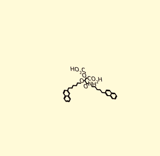 O=C(O)COC(C(=O)O)C(OCCCCCCc1ccc2ccccc2c1)C(=O)NCCCCCc1ccc2ccccc2c1